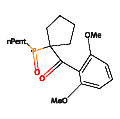 CCCCC[P](=O)C1(C(=O)c2c(OC)cccc2OC)CCCC1